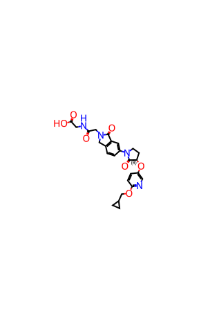 O=C(O)CNC(=O)CN1Cc2ccc(N3CC[C@@H](Oc4ccc(OCC5CC5)nc4)C3=O)cc2C1=O